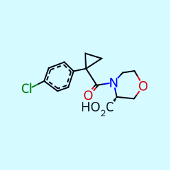 O=C(O)[C@@H]1COCCN1C(=O)C1(c2ccc(Cl)cc2)CC1